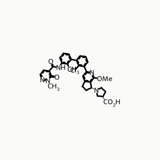 COc1nc(-c2cccc(-c3cccc(NC(=O)c4ccnn(C)c4=O)c3C)c2Cl)cc2c1[C@H](N1CC[C@H](C(=O)O)C1)CC2